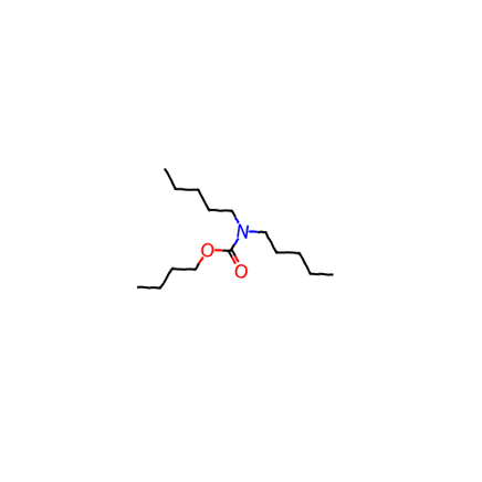 CCCCCN(CCCCC)C(=O)OCCCC